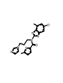 Cc1ccc(C(=O)N(CCCn2ccnc2)c2nc3c(C)cc(Cl)cc3s2)s1